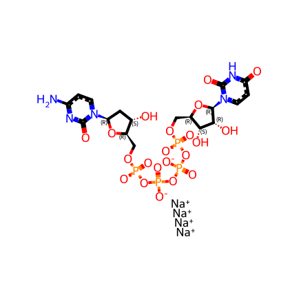 Nc1ccn([C@H]2C[C@H](O)[C@@H](COP(=O)([O-])OP(=O)([O-])OP(=O)([O-])OP(=O)([O-])OC[C@H]3O[C@@H](n4ccc(=O)[nH]c4=O)[C@H](O)[C@@H]3O)O2)c(=O)n1.[Na+].[Na+].[Na+].[Na+]